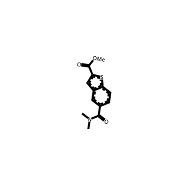 COC(=O)c1cc2cc(C(=O)N(C)C)ccc2s1